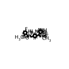 COc1ccc(F)cc1C(=O)NCc1ccc(-c2cn(C(C)C(F)(F)F)c3c(=O)[nH]nc(N)c23)cc1F